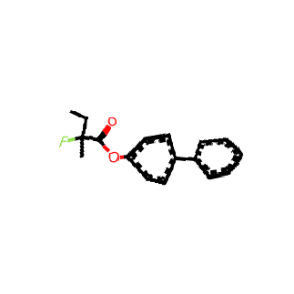 CCC(C)(F)C(=O)Oc1ccc(-c2ccccc2)cc1